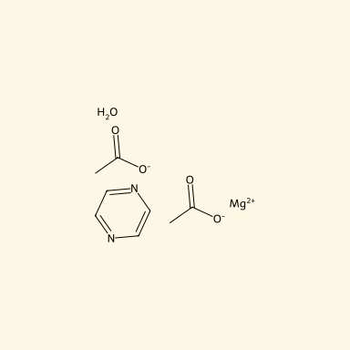 CC(=O)[O-].CC(=O)[O-].O.[Mg+2].c1cnccn1